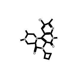 Cc1nc2c(cc1Cl)c1c(c(=O)n2C)N(C2CCC2)C(=O)C2CN(C)C(C)CN12